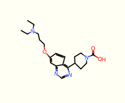 CCN(CC)CCCOc1ccc2c(C3CCN(C(=O)O)CC3)ncnc2c1